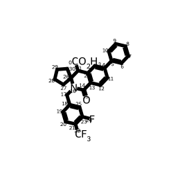 O=C(O)C1c2cc(-c3ccccc3)ccc2C(=O)N(Cc2ccc(C(F)(F)F)c(F)c2)C12CCCC2